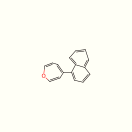 C1=COC=CC(c2cccc3ccccc23)=C1